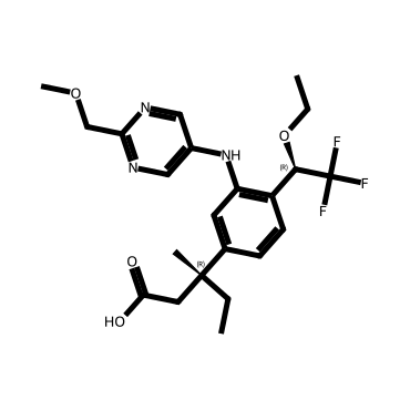 CCO[C@H](c1ccc([C@](C)(CC)CC(=O)O)cc1Nc1cnc(COC)nc1)C(F)(F)F